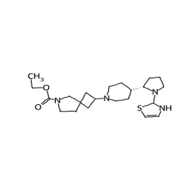 CCOC(=O)N1CCC2(CC(N3CCC([C@@H]4CCCN4C4NC=CS4)CC3)C2)C1